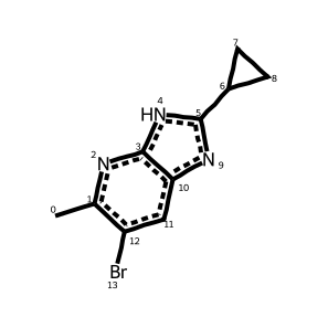 Cc1nc2[nH]c(C3CC3)nc2cc1Br